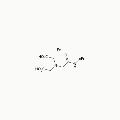 [CH2]CCNC(=O)CN(CC(=O)O)CC(=O)O.[Fe]